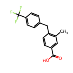 Cc1cc(C(=O)O)ccc1Cc1ccc(C(F)(F)F)cc1